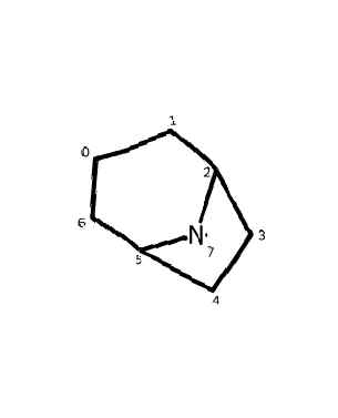 C1CC2CCC(C1)[N]2